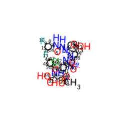 C/C(=N\NC(=O)Nc1cc(F)cc(F)c1)c1ncccc1C(=O)O.CP(=O)(O)CCC(N)C(=O)O.Nc1c([N+](=O)[O-])ccc(Oc2ccccc2)c1Cl